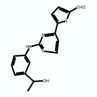 CC(O)c1cccc(Nc2nccc(-c3ccc(C=O)s3)n2)c1